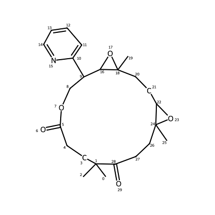 CC1(C)CCC(=O)OCC(c2ccccn2)C2OC2(C)CCC2OC2(C)CCC1=O